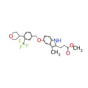 COC(=O)CCc1[nH]c2ccc(OCc3ccc(C4CCOCC4)c(C(F)(F)F)c3)cc2c1C